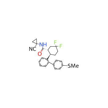 CSc1ccc(-c2ccccc2[C@@H]2CCC(F)(F)C[C@H]2C(=O)NC2(C#N)CC2)cc1